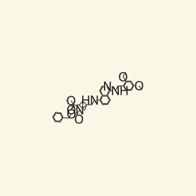 COC(=O)C12CC(CNc3cccc4c(NCc5ccc(OC)cc5OC)nccc34)(CN1C(=O)OCc1ccccc1)C2